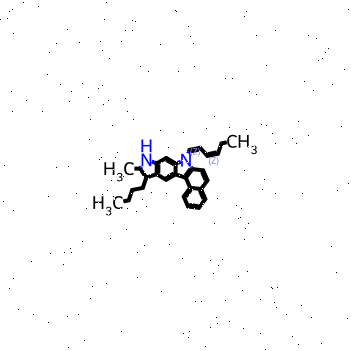 CC/C=C\C=C/n1c2cc3c(cc2c2c4ccccc4ccc21)C(CCCC)C(C)N3